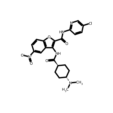 CN(C)[C@H]1CC[C@H](C(=O)Nc2c(C(=O)Nc3ccc(Cl)cn3)oc3ccc([N+](=O)[O-])cc23)CC1